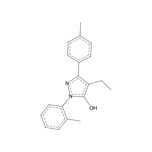 CCc1c(-c2ccc(C)cc2)nn(-c2ccccc2C)c1O